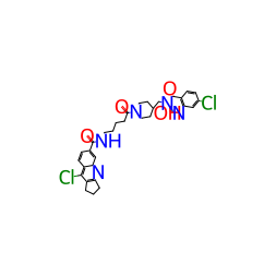 O=C(NCCCCC(=O)N1CCC(O)(Cn2cnc3cc(Cl)ccc3c2=O)CC1)c1ccc2c(Cl)c3c(nc2c1)CCC3